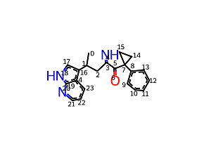 CC(CC(=N)C(=O)C1(c2ccccc2)CC1)c1c[nH]c2ncccc12